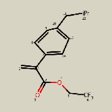 C=C(C(=O)OCC(F)(F)F)c1ccc(CC(C)C)cc1